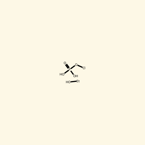 CCO.O=P(O)(O)OCl